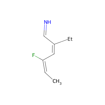 C/C=C(F)\C=C(/C=N)CC